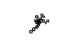 CC1[C@H](c2ccccc2)[C@]1(NS(=O)(=O)N1CCC(OCc2ccc(Cl)cc2)C1)C(=O)O